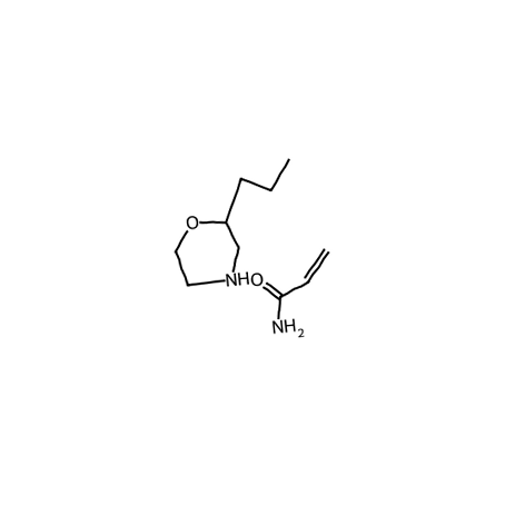 C=CC(N)=O.CCCC1CNCCO1